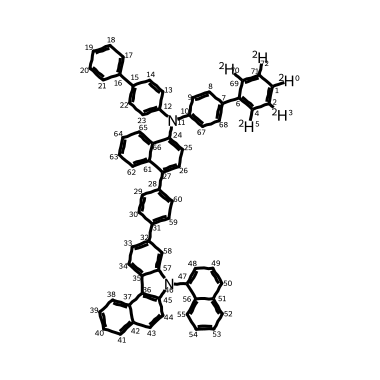 [2H]c1c([2H])c([2H])c(-c2ccc(N(c3ccc(-c4ccccc4)cc3)c3ccc(-c4ccc(-c5ccc6c7c8ccccc8ccc7n(-c7cccc8ccccc78)c6c5)cc4)c4ccccc34)cc2)c([2H])c1[2H]